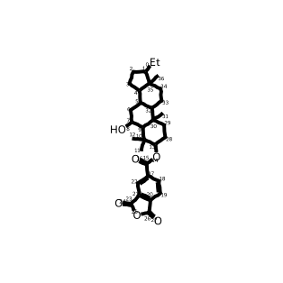 CCC1CCC2C3CC(O)C4C(C)(C)C(OC(=O)c5ccc6c(c5)C(=O)OC6=O)CCC4(C)C3CCC12C